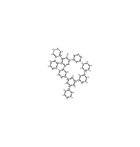 Cc1c(-c2ccccc2)cc(-c2cccc(-c3nc(-c4ccccc4)nc(-c4cccc(-c5ccccc5)c4)n3)c2)c(-c2ccccc2)c1C1=CCCC=C1